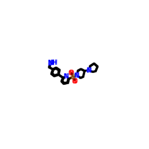 N=Cc1ccc(-c2cccc(S(=O)(=O)N3CCC(N4CCCCC4)CC3)n2)cc1